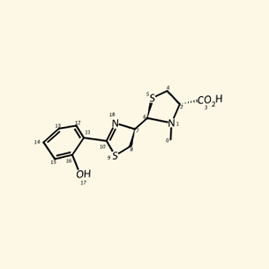 CN1[C@@H](C(=O)O)CS[C@@H]1[C@H]1CSC(c2ccccc2O)=N1